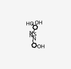 Oc1cccc(C=Nc2nnc(-c3ccc(O)c(O)c3)s2)c1